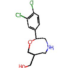 OCC1CNCC(c2ccc(Cl)c(Cl)c2)OC1